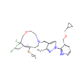 CS/C1=C(\C=C\Cl)C(F)(F)COCCN(Cc2cn(-c3ncccc3COCC3CC3)nc2C)CC1